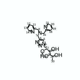 CO[C@H](Cn1cc(CN(Cc2ccccn2)Cc2ccccn2)nn1)[C@H](O)[C@H](O)[C@H](C)O